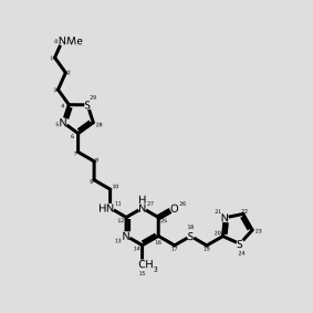 CNCCCc1nc(CCCCNc2nc(C)c(CSCc3nccs3)c(=O)[nH]2)cs1